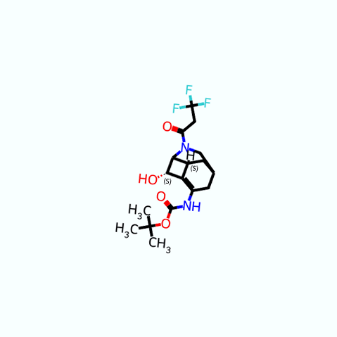 CC(C)(C)OC(=O)NC1=C2[C@H](O)C3[C@H]2CC(C1)CN3C(=O)CC(F)(F)F